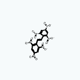 O=[N+]([O-])c1cc([N+](=O)[O-])c(C=Cc2c([N+](=O)[O-])cc([N+](=O)[O-])cc2[N+](=O)[O-])c([N+](=O)[O-])c1